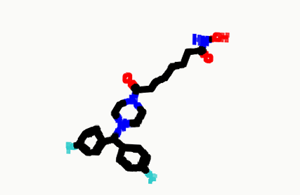 O=C(CCCCCCC(=O)N1CCN(C(c2ccc(F)cc2)c2ccc(F)cc2)CC1)NO